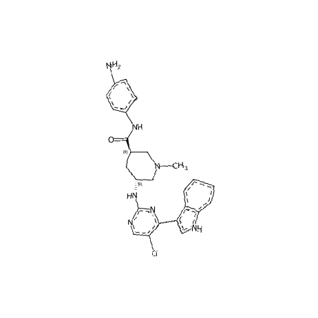 CN1C[C@H](Nc2ncc(Cl)c(-c3c[nH]c4ccccc34)n2)C[C@@H](C(=O)Nc2ccc(N)cc2)C1